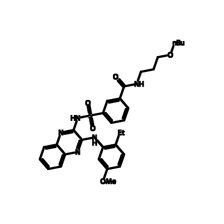 CCCCOCCCNC(=O)c1cccc(S(=O)(=O)Nc2nc3ccccc3nc2Nc2cc(OC)ccc2CC)c1